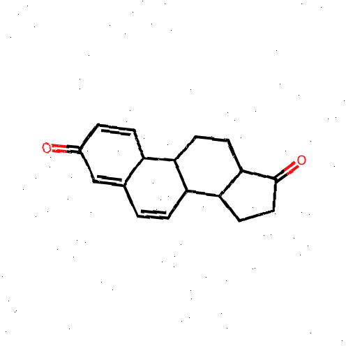 O=C1C=CC2C(=C1)C=CC1C2CCC2C(=O)CCC21